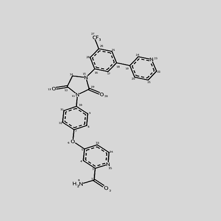 NC(=O)c1cc(Oc2ccc(N3C(=O)CN(c4cc(-c5cccnc5)cc(C(F)(F)F)c4)C3=O)cc2)ccn1